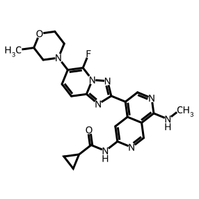 CNc1ncc(-c2nc3ccc(N4CCOC(C)C4)c(F)n3n2)c2cc(NC(=O)C3CC3)ncc12